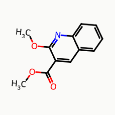 COC(=O)c1cc2ccccc2nc1OC